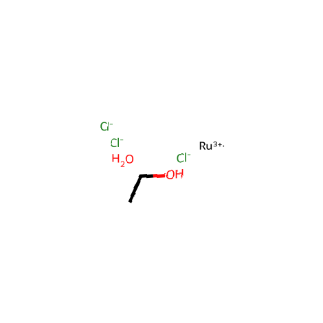 CCO.O.[Cl-].[Cl-].[Cl-].[Ru+3]